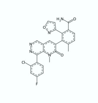 Cc1ccc(C(N)=O)c(-c2ccon2)c1-c1cc2cnnc(-c3ccc(F)cc3Cl)c2n(C)c1=O